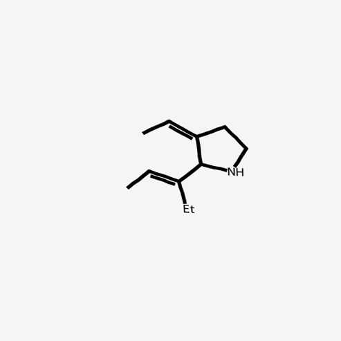 CC=C(CC)C1NCC/C1=C/C